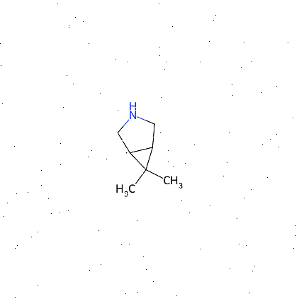 CC1(C)[C]2CNCC21